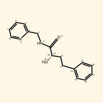 O=C(NCc1ccccn1)[C@@H](O)CCc1ccccc1